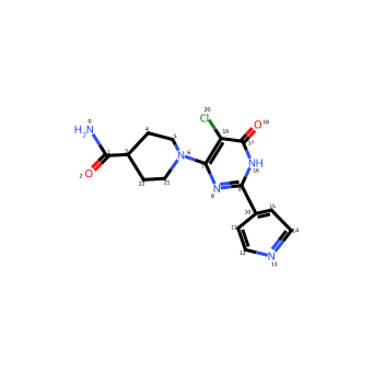 NC(=O)C1CCN(c2nc(-c3ccncc3)[nH]c(=O)c2Cl)CC1